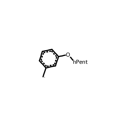 [CH2]c1cccc(OCCCCC)c1